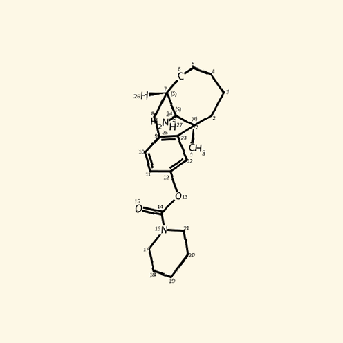 C[C@@]12CCCCC[C@@H](Cc3ccc(OC(=O)N4CCCCC4)cc31)[C@@H]2N